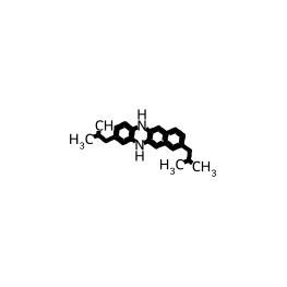 CC(C)Cc1ccc2c(c1)Nc1cc3cc(CC(C)C)ccc3cc1N2